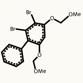 COCOc1cc(OCOC)c(-c2ccccc2)c(Br)c1Br